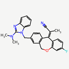 CC(C#N)=C1c2ccc(Cn3c(N(C)C)nc4ccccc43)cc2COc2cc(F)ccc21